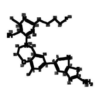 Cc1cc(-c2cnc3sc(N)nc3c2)cc2c1OCCN(c1nc(CCCCF)nc(C)c1C(C)C)C2